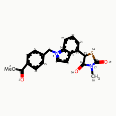 COC(=O)c1ccc(Cn2ccc3c(C4SC(=O)N(C)C4=O)cccc32)cc1